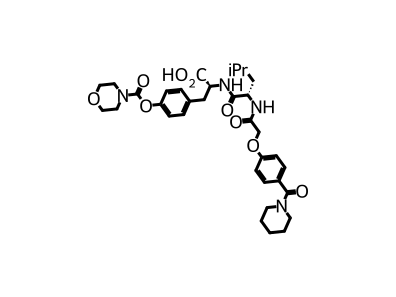 CC(C)C[C@H](NC(=O)COc1ccc(C(=O)N2CCCCC2)cc1)C(=O)N[C@@H](Cc1ccc(OC(=O)N2CCOCC2)cc1)C(=O)O